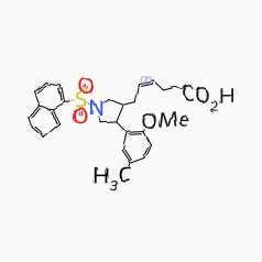 COc1ccc(C)cc1C1CN(S(=O)(=O)c2cccc3ccccc23)CC1C/C=C\CCC(=O)O